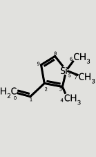 C=CC1=C(C)[Si](C)(C)C=C1